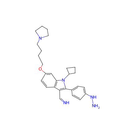 N=Cc1c(-c2ccc(NN)cc2)n(C2CCC2)c2cc(OCCCCN3CCCC3)ccc12